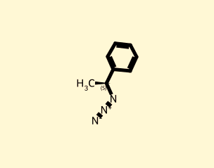 C[C@H](N=[N+]=[N-])c1ccccc1